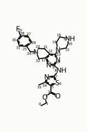 CCOC(=O)c1sc(Nc2nc3c(c(N4CCNCC4)n2)CCN(Cc2ccc(F)cc2)C3)nc1C